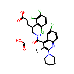 Cc1c(N2CCCCC2)nc2ccc(Br)cc2c1C(=O)NCC(CCC(=O)O)c1c(Cl)ccc(Cl)c1Cl.O=CO